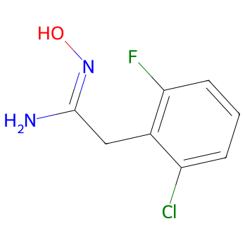 NC(Cc1c(F)cccc1Cl)=NO